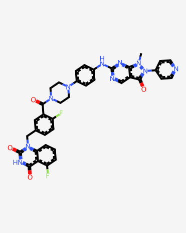 Cn1c2nc(Nc3ccc(N4CCN(C(=O)c5cc(Cn6c(=O)[nH]c(=O)c7c(F)cccc76)ccc5F)CC4)cc3)ncc2c(=O)n1-c1ccncc1